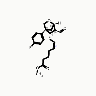 COC(=O)CCC/C=C\C[C@H]1[C@H](C=O)[C@@H]2C[C@@]1(c1ccc(F)cc1)CO2